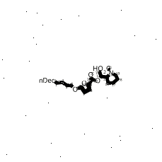 CCCCCCCCCCCCCCOc1ccc(C(=O)OC(C)C2CCCCN2C(=O)O)o1